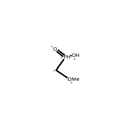 COC[PH](=O)O